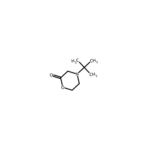 CC(C)(C)N1CCOC(=O)C1